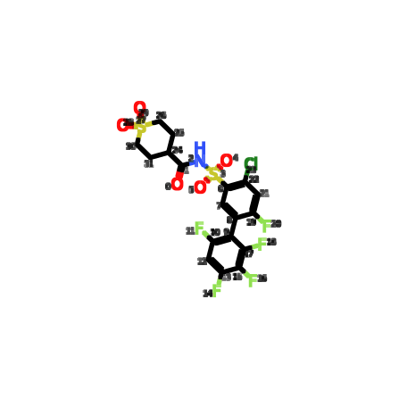 O=C(NS(=O)(=O)c1cc(-c2c(F)cc(F)c(F)c2F)c(F)cc1Cl)C1CCS(=O)(=O)CC1